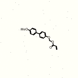 C=CC(=O)OCOc1ccc(-c2ccc(OC)cc2)cc1